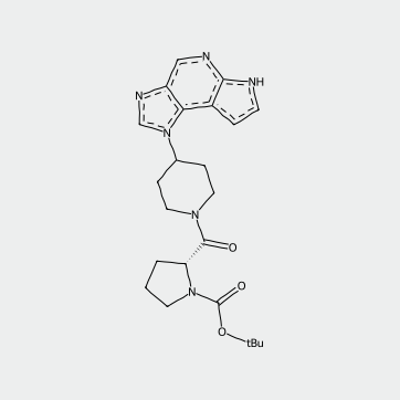 CC(C)(C)OC(=O)N1CCC[C@@H]1C(=O)N1CCC(n2cnc3cnc4[nH]ccc4c32)CC1